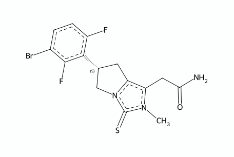 Cn1c(CC(N)=O)c2n(c1=S)C[C@H](c1c(F)ccc(Br)c1F)C2